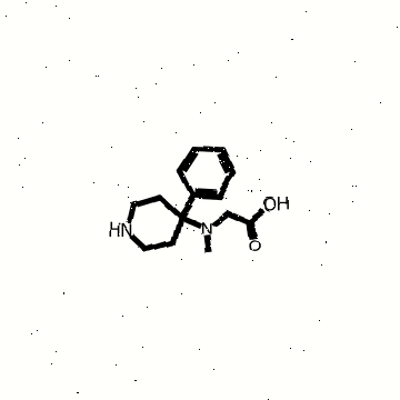 CN(CC(=O)O)C1(c2ccccc2)CCNCC1